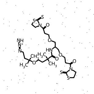 CC(C)(CCN=[N+]=N)OCCC(C)(C)C(=O)NC(COCCC(=O)N1CCSC1=S)COCCC(=O)N1CCSC1=S